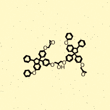 OC(COc1ccc(C2(c3ccc(OCC4CO4)cc3)CC(c3ccccc3)c3cc(Oc4ccccc4)ccc32)cc1)COc1ccc(C2(c3ccc(OCC4CO4)cc3)CC(c3ccccc3)c3cc(Oc4ccccc4)ccc32)cc1